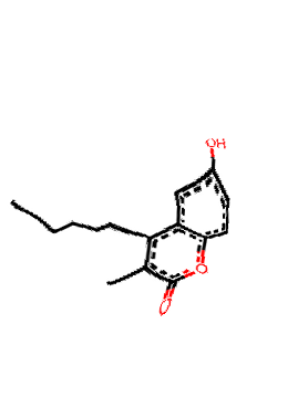 CCCCCc1c(C)c(=O)oc2ccc(O)cc12